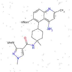 CCCCCCCCCc1ccc2nc(C(F)(F)F)cc(N)c2c1C1CCC(C)(NC(=O)c2cn(C)nc2NC)CC1